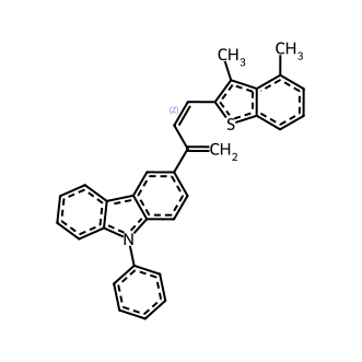 C=C(/C=C\c1sc2cccc(C)c2c1C)c1ccc2c(c1)c1ccccc1n2-c1ccccc1